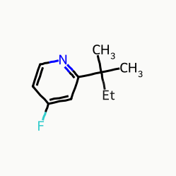 CCC(C)(C)c1cc(F)ccn1